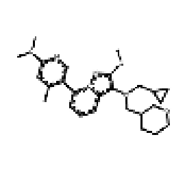 COc1nn2c(-c3cnc(N(C)C)cc3C)cccc2c1N(CC1CC1)CC1CCCOC1